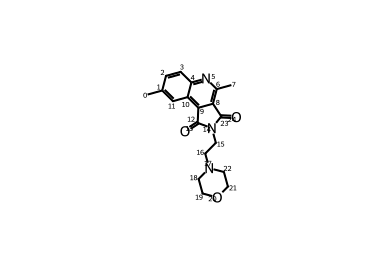 Cc1ccc2nc(C)c3c(c2c1)C(=O)N(CCN1CCOCC1)C3=O